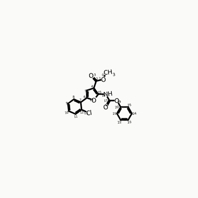 COC(=O)c1cc(-c2ccccc2Cl)oc1NC(=O)Oc1ccccc1